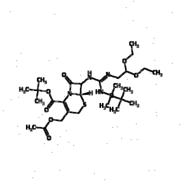 CCOC(CN=C(NC1C(=O)N2C(C(=O)OC(C)(C)C)=C(COC(C)=O)CS[C@@H]12)N[Si](C)(C)C(C)(C)C)OCC